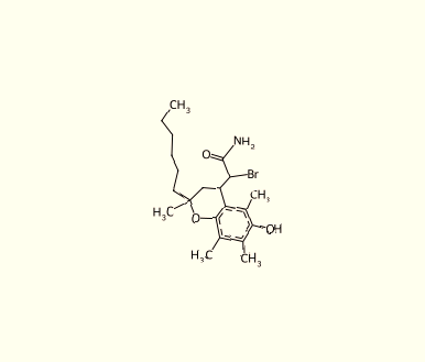 CCCCCCC1(C)CC(C(Br)C(N)=O)c2c(C)c(O)c(C)c(C)c2O1